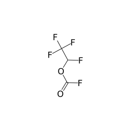 O=C(F)OC(F)C(F)(F)F